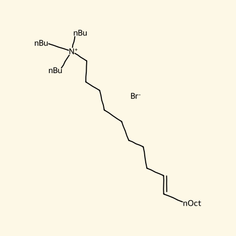 CCCCCCCCC=CCCCCCCCC[N+](CCCC)(CCCC)CCCC.[Br-]